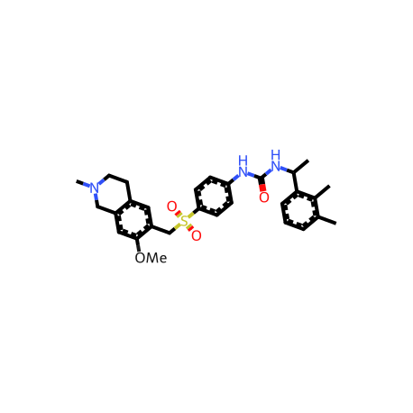 COc1cc2c(cc1CS(=O)(=O)c1ccc(NC(=O)NC(C)c3cccc(C)c3C)cc1)CCN(C)C2